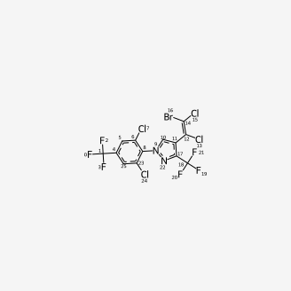 FC(F)(F)c1cc(Cl)c(-n2cc(C(Cl)=C(Cl)Br)c(C(F)(F)F)n2)c(Cl)c1